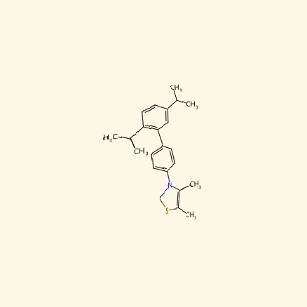 CC1=C(C)N(c2ccc(-c3cc(C(C)C)ccc3C(C)C)cc2)CS1